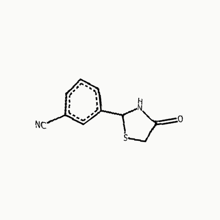 N#Cc1cccc(C2NC(=O)CS2)c1